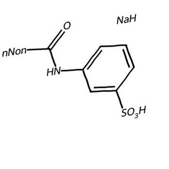 CCCCCCCCCC(=O)Nc1cccc(S(=O)(=O)O)c1.[NaH]